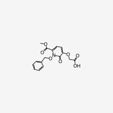 COC(=O)c1ccc(OCC(=O)O)c(=O)n1OCc1ccccc1